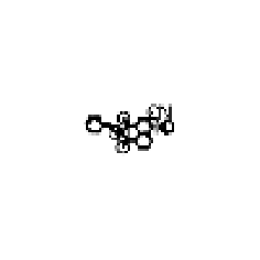 N#Cc1cc2c3c(cccc3c1N1CCCC1)C(=O)N(OCc1ccccc1)C2=O